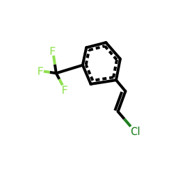 FC(F)(F)c1cccc(C=CCl)c1